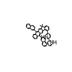 CC1(C)c2cc3c(-c4ccc5ccccc5c4)c4ccccc4c(-c4ccc5ccccc5c4)c3cc2-c2c(C3=CNC(C4C=CC=CN4)C=C3)cccc21